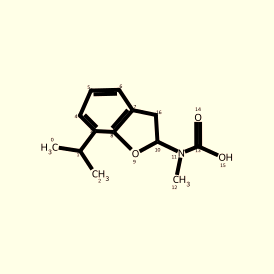 CC(C)c1cccc2c1OC(N(C)C(=O)O)C2